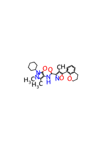 Cc1c(C(=O)Nc2c(C)n(C)n(C3CCCCC3)c2=O)noc1-c1cccc2c1OCCC2